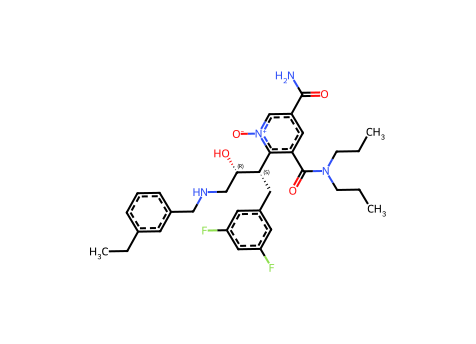 CCCN(CCC)C(=O)c1cc(C(N)=O)c[n+]([O-])c1[C@H](Cc1cc(F)cc(F)c1)[C@@H](O)CNCc1cccc(CC)c1